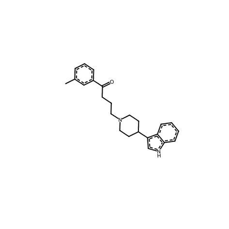 Cc1cccc(C(=O)CCCN2CCC(c3c[nH]c4ccccc34)CC2)c1